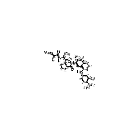 CCN(CC)c1ccc(Nc2ncnc3cc(OC)c(NC(=O)C4CCCN4C(=O)C(NC(=O)C(C)NC)C(C)(C)C)cc23)cc1Cl